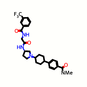 CNC(=O)c1ccc(C2CCC(N3CC[C@@H](NC(=O)CNC(=O)c4cccc(C(F)(F)F)c4)C3)CC2)cc1